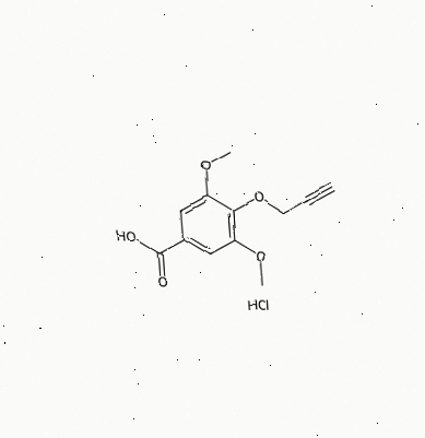 C#CCOc1c(OC)cc(C(=O)O)cc1OC.Cl